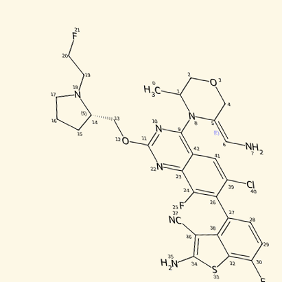 CC1COC/C(=C\N)N1c1nc(OC[C@@H]2CCCN2CCF)nc2c(F)c(-c3ccc(F)c4sc(N)c(C#N)c34)c(Cl)cc12